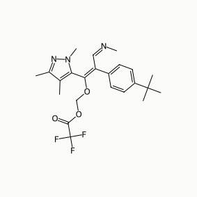 C/N=C\C(=C(\OCOC(=O)C(F)(F)F)c1c(C)c(C)nn1C)c1ccc(C(C)(C)C)cc1